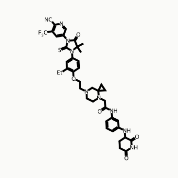 CCc1cc(N2C(=S)N(c3cnc(C#N)c(C(F)(F)F)c3)C(=O)C2(C)C)ccc1OCCN1CCN(CC(=O)Nc2cccc(NC3CCC(=O)NC3=O)c2)C2(CC2)C1